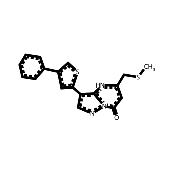 CSCc1cc(=O)n2ncc(-c3cc(-c4ccccc4)cs3)c2[nH]1